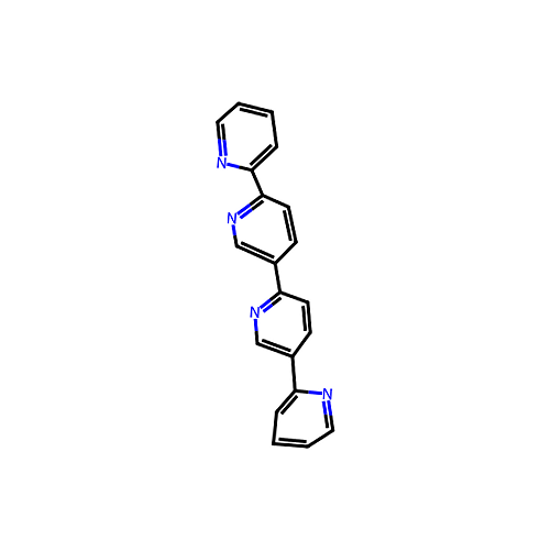 c1ccc(-c2ccc(-c3ccc(-c4ccccn4)nc3)nc2)nc1